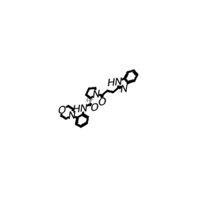 O=C(Nc1ccccc1N1CCOCC1)[C@@H]1CCCN1C(=O)CCc1nc2ccccc2[nH]1